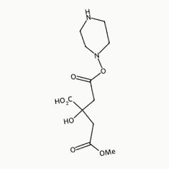 COC(=O)CC(O)(CC(=O)ON1CCNCC1)C(=O)O